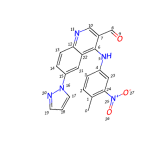 Cc1ccc(Nc2c(C=O)cnc3ccc(-n4cccn4)cc23)cc1[N+](=O)[O-]